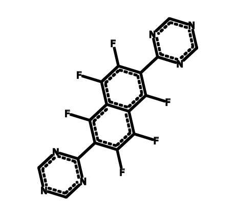 Fc1c(-c2ncncn2)c(F)c2c(F)c(F)c(-c3ncncn3)c(F)c2c1F